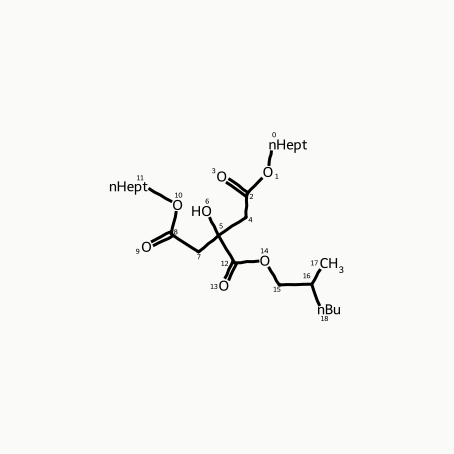 CCCCCCCOC(=O)CC(O)(CC(=O)OCCCCCCC)C(=O)OCC(C)CCCC